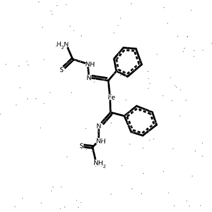 NC(=S)N/N=[C](/[Fe]/[C](=N/NC(N)=S)c1ccccc1)c1ccccc1